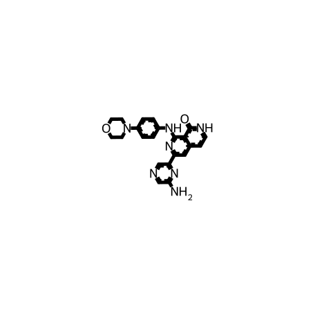 Nc1cncc(-c2cc3cc[nH]c(=O)c3c(Nc3ccc(N4CCOCC4)cc3)n2)n1